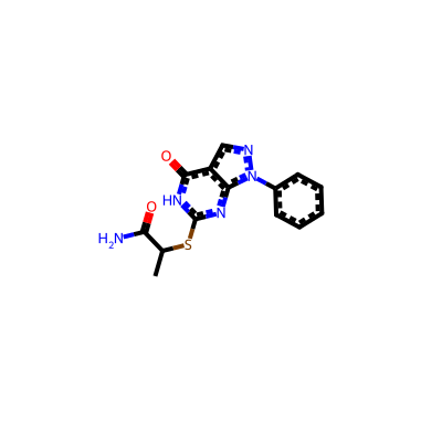 CC(Sc1nc2c(cnn2-c2ccccc2)c(=O)[nH]1)C(N)=O